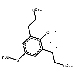 CCCCCCCCCCCCc1cc(SCCCC)cc(CCCCCCCCCCCC)c1[O]